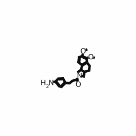 COc1ccc2c(c1OC)CCC1CN(C(=O)CCc3ccc(N)cc3)CC21